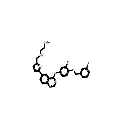 COCCNCc1ccc(-c2ccc3ncnc(Nc4ccc(OCc5cccc(F)c5)c(Cl)c4)c3c2)o1